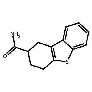 NC(=O)C1CCc2sc3ccccc3c2C1